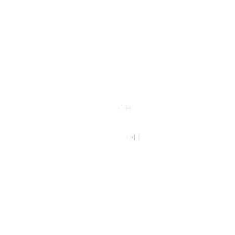 CC(C)C1CCC(CC(C)C2CCCCC2O)C1O